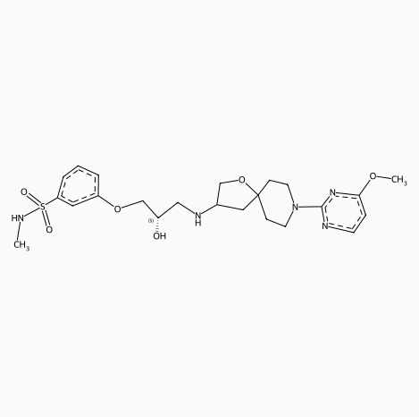 CNS(=O)(=O)c1cccc(OC[C@@H](O)CNC2COC3(CCN(c4nccc(OC)n4)CC3)C2)c1